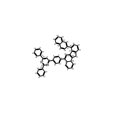 C1=CC2C(c3ccc(-c4cc(-c5ccccc5)nc(-c5ccccc5)n4)cc3)=CC3=C(Cc4cccc(-c5ccc6ccccc6c5)c43)C2C=C1